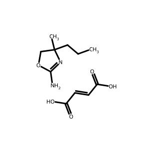 CCCC1(C)COC(N)=N1.O=C(O)/C=C/C(=O)O